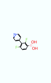 OB(O)c1ccc(F)c(-c2ccncc2)c1F